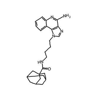 Nc1nc2ccccc2c2c1ncn2CCCCNC(=O)C12CC3CC(CC(C3)C1)C2